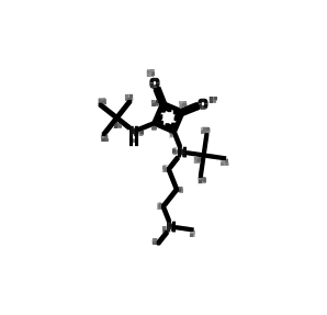 CN(C)CCCN(c1c(NC(C)(C)C)c(=O)c1=O)C(C)(C)C